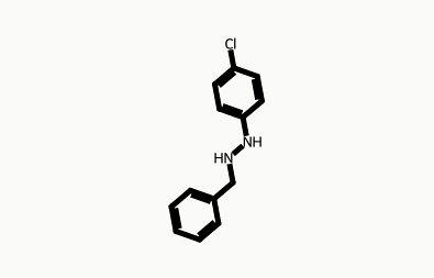 Clc1ccc(NNCc2ccccc2)cc1